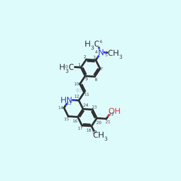 Cc1cc(N(C)C)ccc1/C=C/C1NCCc2cc(C)c(CO)cc21